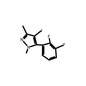 Cc1nn(C)c(-c2cccc(F)c2F)c1I